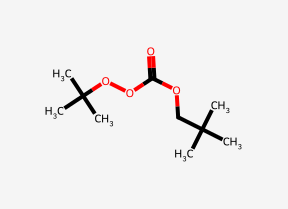 CC(C)(C)COC(=O)OOC(C)(C)C